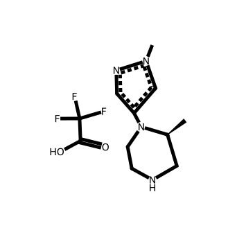 C[C@H]1CNCCN1c1cnn(C)c1.O=C(O)C(F)(F)F